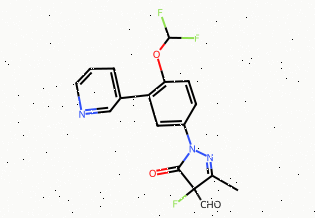 CC1=NN(c2ccc(OC(F)F)c(-c3cccnc3)c2)C(=O)C1(F)C=O